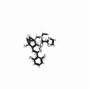 CCN(C[C@@]12CC[C@@H](c3cc(-c4c(F)cccc4F)nnc31)C2(C)C)C(=O)c1ncco1